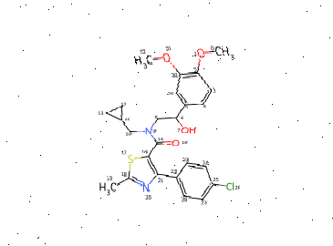 COc1ccc(C(O)CN(CC2CC2)C(=O)c2sc(C)nc2-c2ccc(Cl)cc2)cc1OC